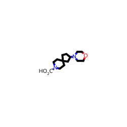 O=C(O)N1CCC2(CCC(N3CCOCC3)C2)CC1